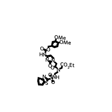 CCOC(=O)CN(CCNS(=O)(=O)c1nc2ccccc2s1)C(=O)Cn1ccc(NC(=O)OCc2ccc(OC)c(OC)c2)nc1=O